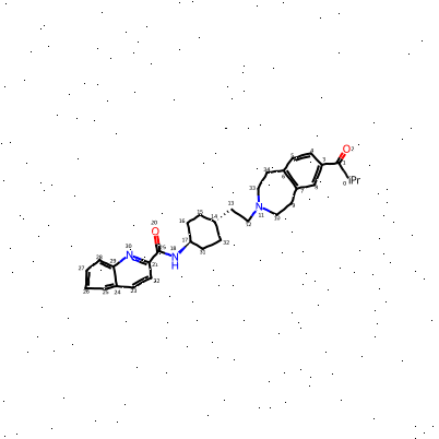 CC(C)C(=O)c1ccc2c(c1)CCN(CC[C@H]1CC[C@H](NC(=O)c3ccc4ccccc4n3)CC1)CC2